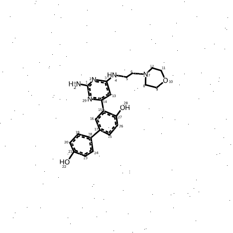 Nc1nc(NCCN2CCOCC2)cc(-c2cc(-c3ccc(O)cc3)ccc2O)n1